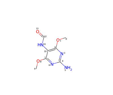 COc1nc(N)nc(OC)c1NC=O